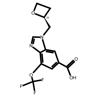 O=C(O)c1cc(OC(F)(F)F)c2ncn(C[C@@H]3CCO3)c2c1